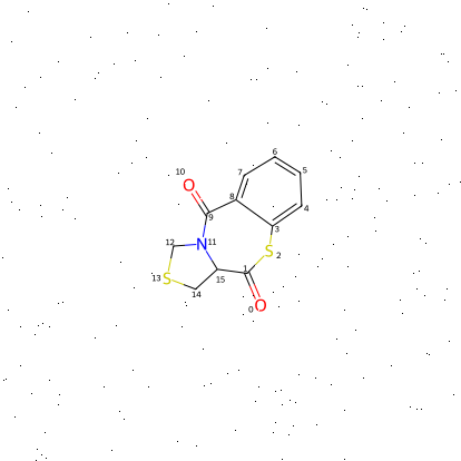 O=C1Sc2ccccc2C(=O)N2CSCC12